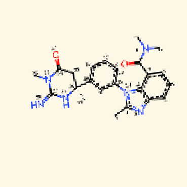 Cc1nc2cccc(C(=O)N(C)C)c2n1-c1cccc([C@]2(C)CC(=O)N(C)C(=N)N2)c1